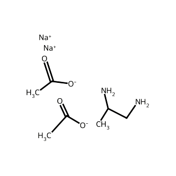 CC(=O)[O-].CC(=O)[O-].CC(N)CN.[Na+].[Na+]